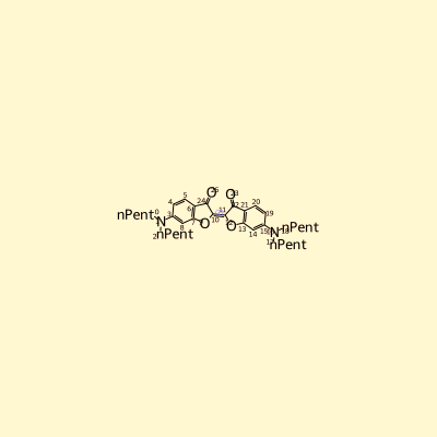 CCCCCN(CCCCC)c1ccc2c(c1)O/C(=C1\Oc3cc(N(CCCCC)CCCCC)ccc3C1=O)C2=O